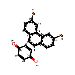 Brc1ccc2ccc3ccc(Br)cc3c2c1.O=C1C=CC(=O)C=C1